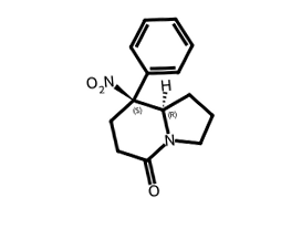 O=C1CC[C@@](c2ccccc2)([N+](=O)[O-])[C@H]2CCCN12